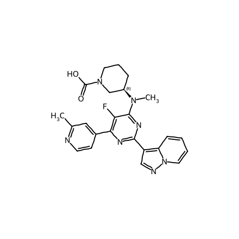 Cc1cc(-c2nc(-c3cnn4ccccc34)nc(N(C)[C@@H]3CCCN(C(=O)O)C3)c2F)ccn1